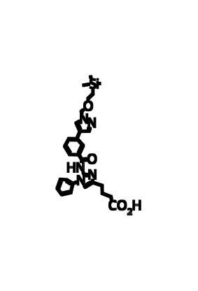 C[Si](C)(C)CCOCn1cc(-c2cccc(C(=O)Nc3nc(CCCC(=O)O)cn3-c3ccccc3)c2)cn1